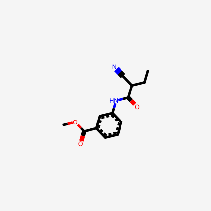 CCC(C#N)C(=O)Nc1cccc(C(=O)OC)c1